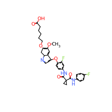 COC1=C(OCCCCCC(=O)O)CC2N=CC=C(Oc3ccc(NC(=O)C4(C(=O)Nc5ccc(F)cc5)CC4)cc3F)C2=C1